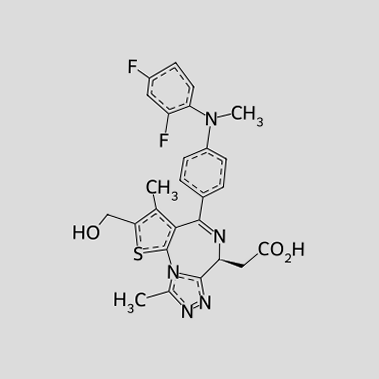 Cc1c(CO)sc2c1C(c1ccc(N(C)c3ccc(F)cc3F)cc1)=N[C@@H](CC(=O)O)c1nnc(C)n1-2